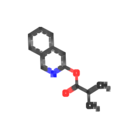 C=C(C)C(=O)Oc1cc2ccccc2cn1